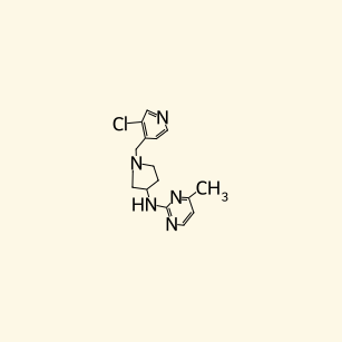 Cc1ccnc(NC2CCN(Cc3ccncc3Cl)CC2)n1